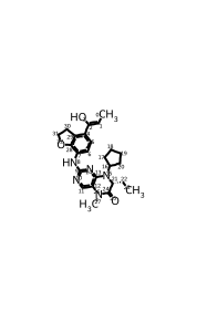 CC=C(O)c1ccc(Nc2ncc3c(n2)N(C2CCCC2)[C@H](CC)C(=O)N3C)c2c1CCO2